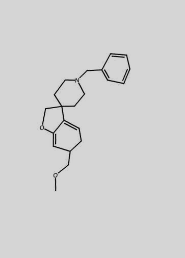 COCC1C=C2OCC3(CCN(Cc4ccccc4)CC3)C2=CC1